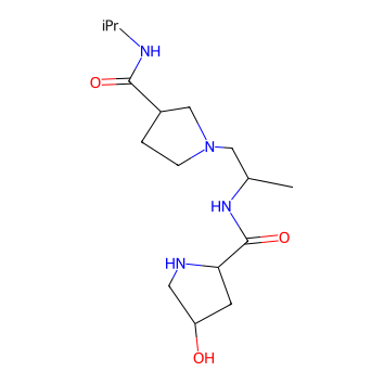 CC(C)NC(=O)C1CCN(CC(C)NC(=O)C2CC(O)CN2)C1